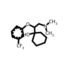 CN(C)CC(Oc1cccc(C(F)(F)F)c1)C1(O)CCCCC1